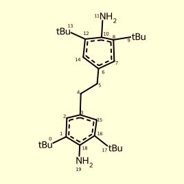 CC(C)(C)c1cc(CCc2cc(C(C)(C)C)c(N)c(C(C)(C)C)c2)cc(C(C)(C)C)c1N